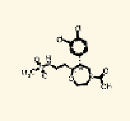 CS(=O)(=O)NCC[C@@H]1OCCN(C(=O)O)C[C@H]1c1ccc(Cl)c(Cl)c1